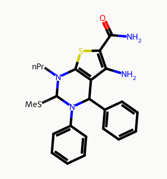 CCCN1c2sc(C(N)=O)c(N)c2C(c2ccccc2)N(c2ccccc2)C1SC